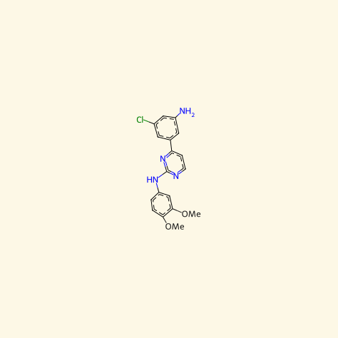 COc1ccc(Nc2nccc(-c3cc(N)cc(Cl)c3)n2)cc1OC